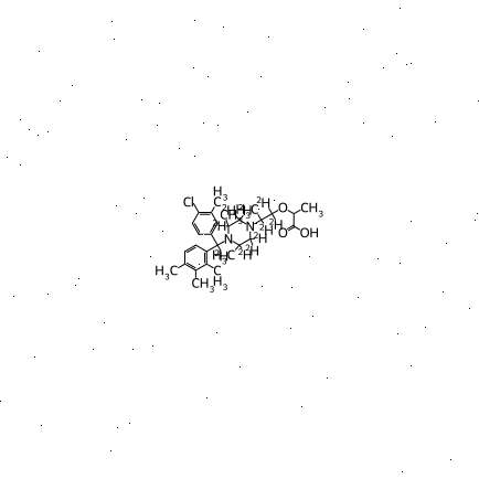 [2H]C(c1ccc(Cl)c(C)c1)(c1ccc(C)c(C)c1C)N1C([2H])(C)C([2H])([2H])N(C([2H])(C)C([2H])([2H])OC(C)C(=O)O)C([2H])([2H])C1([2H])C